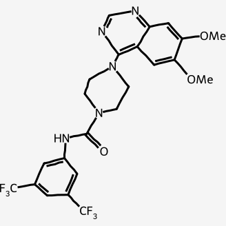 COc1cc2ncnc(N3CCN(C(=O)Nc4cc(C(F)(F)F)cc(C(F)(F)F)c4)CC3)c2cc1OC